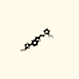 CCCc1nc(-c2ccc3oc(CCN4CCC[C@H]4C)cc3c2)no1